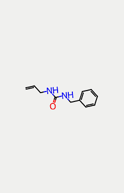 C=CCNC(=O)NCc1ccccc1